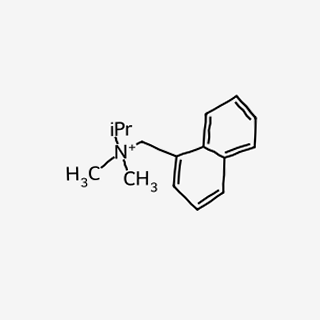 CC(C)[N+](C)(C)Cc1cccc2ccccc12